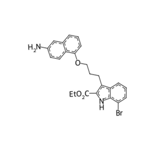 CCOC(=O)c1[nH]c2c(Br)cccc2c1CCCOc1cccc2cc(N)ccc12